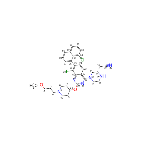 COCCCN1CCC(Oc2nc(N3CCN[C@@H](CC#N)C3)c3ccc(-c4cccc5cccc(Cl)c45)c(F)c3n2)CC1